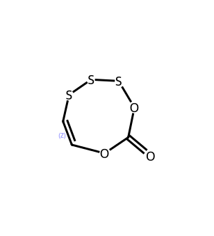 O=C1O/C=C\SSSO1